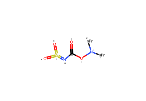 CCCN(CCC)OC(=O)N=S(=O)=O